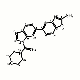 Nc1nc2cc(-c3ccc4ncn(C(=O)N5CCOCC5)c4c3)ccc2o1